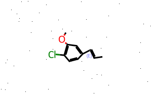 C/C=C/c1ccc(Cl)c(OC)c1